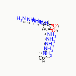 CC(=O)[O-].CC(=O)[O-].N.N.N.N.N.N.N.N.N.N.[Co+2]